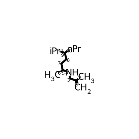 C=C(C)CNC(C)CCC(CCC)C(C)C